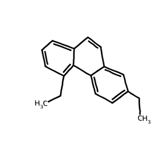 CCc1ccc2c(ccc3cccc(CC)c32)c1